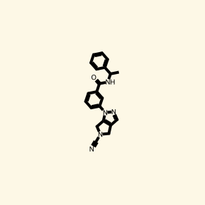 CC(NC(=O)c1cccc(-n2ncc3c2CN(C#N)C3)c1)c1ccccc1